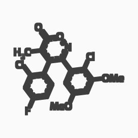 COc1cc(OC)c(Cl)c(-c2noc(=O)c(C)c2-c2ccc(F)cc2Cl)c1